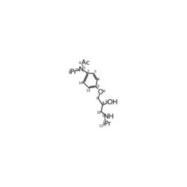 CC(=O)N(c1ccc(OCC(O)CNC(C)C)cc1)C(C)C